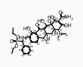 CCOP(=O)(OCC)C(Nc1ccc2c(c1O)C(=O)C1=C(O)[C@]3(O)C(=O)C(C(N)=O)=C(O)[C@@H](N(C)C)[C@@H]3C[C@@H]1[C@H]2C)c1ccccc1